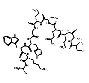 CC(C)[C@H](NC(=O)[C@H](CCCCN)NC(=O)[C@H](Cc1c[nH]c2ccccc12)NC(=O)[C@H](Cc1c[nH]cn1)NC(=O)CNC(=O)[C@H](CCC(=O)O)NC(=O)[C@H](CO)NC(=O)[C@H](CCC(N)=O)NC(=O)[C@H](CCC(=O)O)NC(=O)[C@H](C)NC(=O)[C@@H](N)CO)C(=O)O